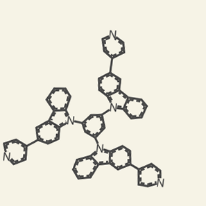 c1ccc2c(c1)c1cc(-c3ccncc3)ccc1n2-c1cc(-n2c3ccccc3c3cc(-c4ccncc4)ccc32)cc(-n2c3ccccc3c3cc(-c4ccncc4)ccc32)c1